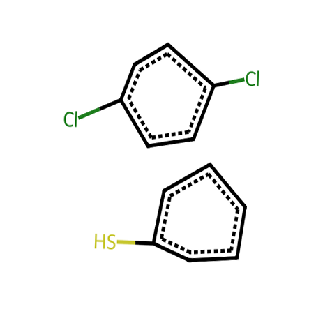 Clc1ccc(Cl)cc1.Sc1ccccc1